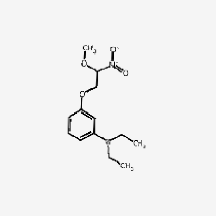 CCN(CC)c1cccc(OCC(OC)[N+](=O)[O-])c1